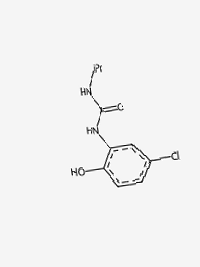 CC(C)NC(=O)Nc1cc(Cl)ccc1O